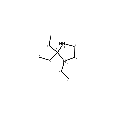 CCN1CCNC1(CC)CC